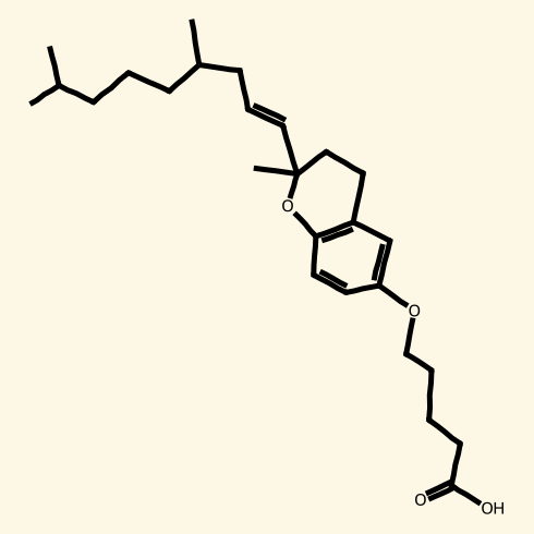 CC(C)CCCC(C)C/C=C/C1(C)CCc2cc(OCCCCC(=O)O)ccc2O1